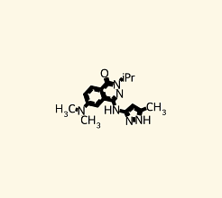 Cc1cc(Nc2nn(C(C)C)c(=O)c3ccc(N(C)C)cc23)n[nH]1